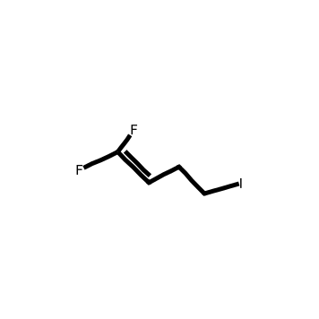 FC(F)=CCCI